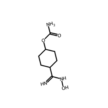 N=C(NO)C1CCC(OC(N)=O)CC1